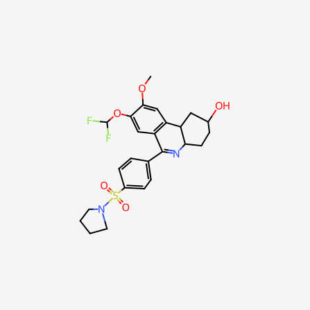 COc1cc2c(cc1OC(F)F)C(c1ccc(S(=O)(=O)N3CCCC3)cc1)=NC1CCC(O)CC21